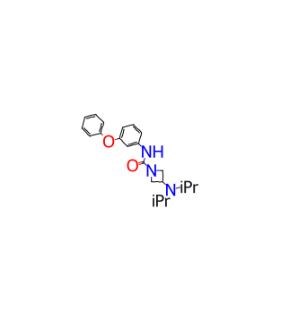 CC(C)N(C(C)C)C1CN(C(=O)Nc2cccc(Oc3ccccc3)c2)C1